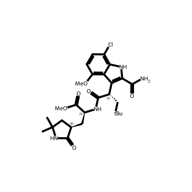 COC(=O)[C@H](C[C@@H]1CC(C)(C)NC1=O)NC(=O)[C@@H](CC(C)(C)C)c1c(C(N)=O)[nH]c2c(Cl)ccc(OC)c12